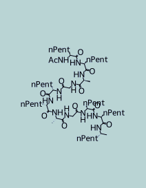 CCCCC[C@@H](C)NC(=O)[C@H](CCCCC)NC(=O)[C@H](CCCCC)NC(=O)CNC(=O)[C@H](C)NC(=O)[C@H](CCCCC)NC(=O)[C@H](CCCCC)NC(=O)CNC(=O)[C@H](C)NC(=O)[C@H](CCCCC)NC(=O)[C@H](CCCCC)NC(C)=O